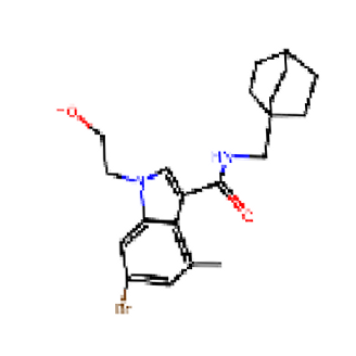 Cc1cc(Br)cc2c1c(C(=O)NCC13CCC(CC1)CC3)cn2CCO